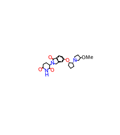 COC1CCN([C@@H]2CCC[C@@H]2Oc2ccc3c(c2)CN(C2CCC(=O)NC2=O)C3=O)C1